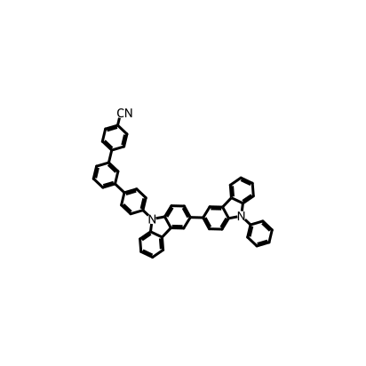 N#Cc1ccc(-c2cccc(-c3ccc(-n4c5ccccc5c5cc(-c6ccc7c(c6)c6ccccc6n7-c6ccccc6)ccc54)cc3)c2)cc1